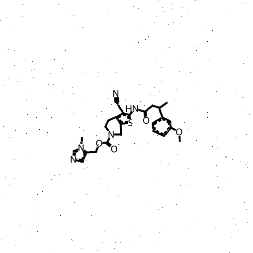 COc1cccc(C(C)CC(=O)Nc2sc3c(c2C#N)CCN(C(=O)OCc2cncn2C)C3)c1